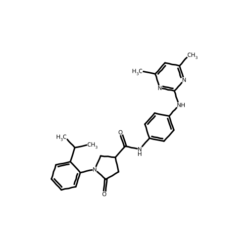 Cc1cc(C)nc(Nc2ccc(NC(=O)C3CC(=O)N(c4ccccc4C(C)C)C3)cc2)n1